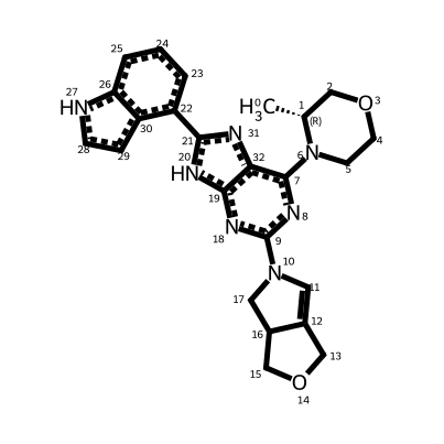 C[C@@H]1COCCN1c1nc(N2C=C3COCC3C2)nc2[nH]c(-c3cccc4[nH]ccc34)nc12